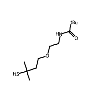 CC(C)(S)CCOCCNC(=O)C(C)(C)C